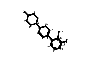 CC1CCC(C2C=CC(c3cccc(F)c3F)=CC2)CC1